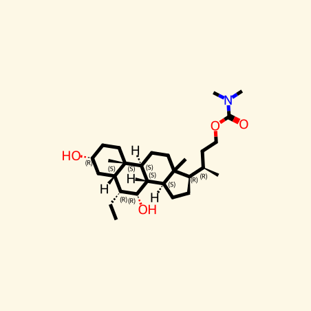 CC[C@H]1[C@@H](O)[C@H]2[C@@H]3CC[C@H]([C@H](C)CCOC(=O)N(C)C)C3(C)CC[C@@H]2[C@@]2(C)CC[C@@H](O)C[C@@H]12